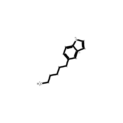 CCCCCCc1ccc2s[c]cc2c1